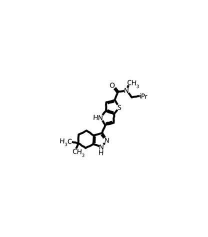 CC(C)CN(C)C(=O)c1cc2[nH]c(-c3n[nH]c4c3CCC(C)(C)C4)cc2s1